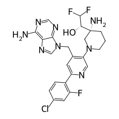 Nc1ncnc2c1ncn2Cc1cc(-c2ccc(Cl)cc2F)ncc1N1CCC[C@](N)([C@H](O)C(F)F)C1